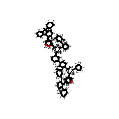 CC1(c2ccccc2)c2ccccc2-c2c1ccc1c2c2ccccc2n1-c1ccc2sc3cccc(-c4nc(-c5ccccc5)nc(-c5cccc(-c6ccc(-c7nc(-c8ccccc8)nc(-c8ccccc8)n7)c7c6oc6ccc(-n8c9ccccc9c9c%10c(ccc98)oc8ccccc8%10)cc67)c5)n4)c3c2c1